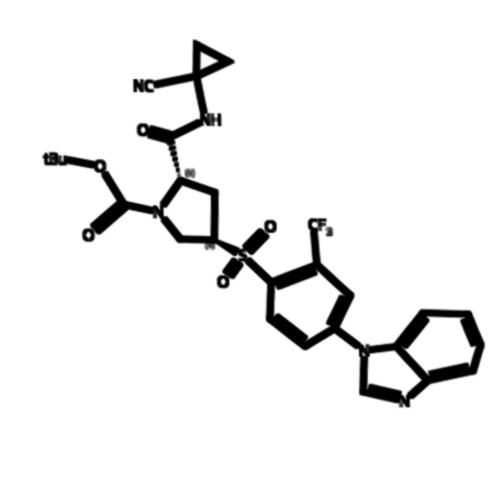 CC(C)(C)OC(=O)N1C[C@H](S(=O)(=O)c2ccc(-n3cnc4ccccc43)cc2C(F)(F)F)C[C@H]1C(=O)NC1(C#N)CC1